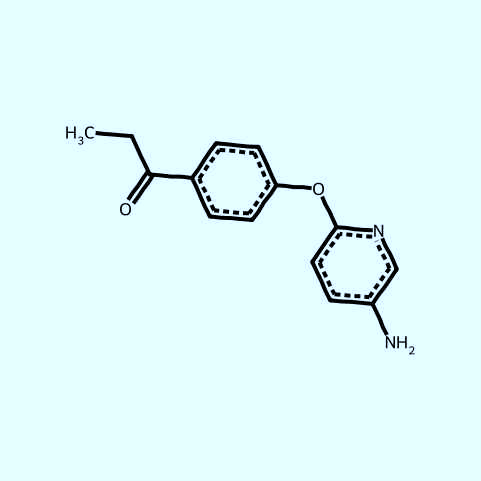 CCC(=O)c1ccc(Oc2ccc(N)cn2)cc1